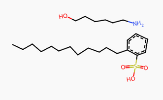 CCCCCCCCCCCCc1ccccc1S(=O)(=O)O.NCCCCCCO